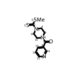 CSC(=S)N1CCN(C(=O)c2cccnc2)CC1